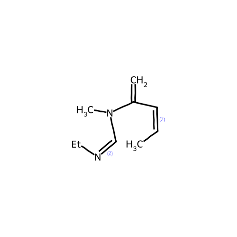 C=C(/C=C\C)N(C)/C=N\CC